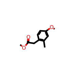 COC(=O)Cc1ccc(OC)cc1C